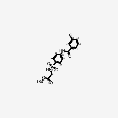 CC(C)(C)OC(=O)CNS(=O)(=O)c1ccc(NC(=O)c2cccc(Cl)c2)cc1